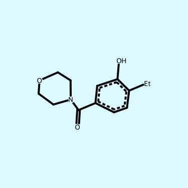 CCc1ccc(C(=O)N2CCOCC2)cc1O